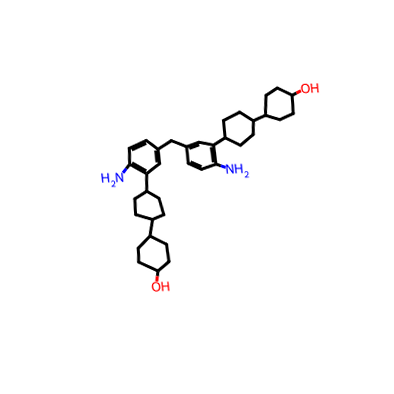 Nc1ccc(Cc2ccc(N)c(C3CCC(C4CCC(O)CC4)CC3)c2)cc1C1CCC(C2CCC(O)CC2)CC1